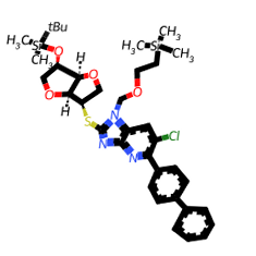 CC(C)(C)[Si](C)(C)O[C@@H]1CO[C@H]2[C@@H]1OC[C@H]2Sc1nc2nc(-c3ccc(-c4ccccc4)cc3)c(Cl)cc2n1COCC[Si](C)(C)C